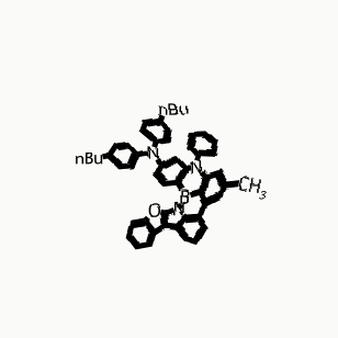 CCCCc1ccc(N(c2ccc(CCCC)cc2)c2ccc3c(c2)N(c2ccccc2)c2cc(C)cc4c2B3n2c3oc5ccccc5c3c3cccc-4c32)cc1